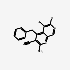 N#Cc1c(N)nc2cnc(Cl)c(Cl)c2c1Cc1ccccc1